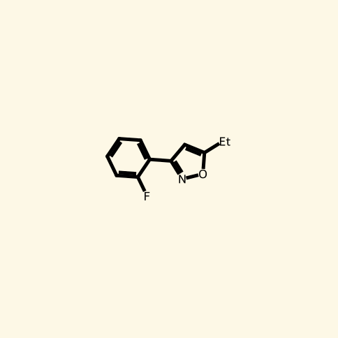 CCc1cc(-c2ccccc2F)no1